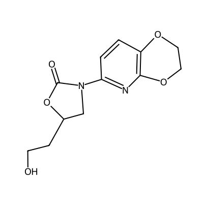 O=C1OC(CCO)CN1c1ccc2c(n1)OCCO2